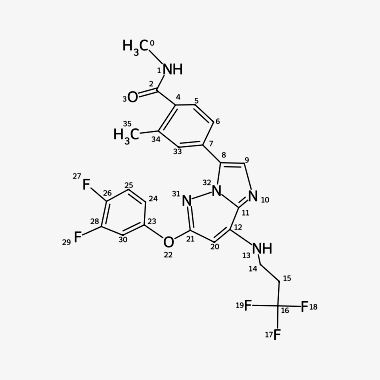 CNC(=O)c1ccc(-c2cnc3c(NCCC(F)(F)F)cc(Oc4ccc(F)c(F)c4)nn23)cc1C